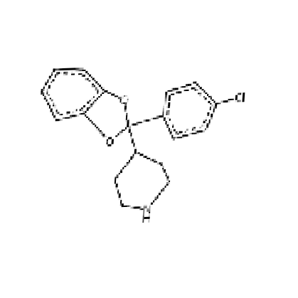 Clc1ccc(C2(C3CCNCC3)Oc3ccccc3O2)cc1